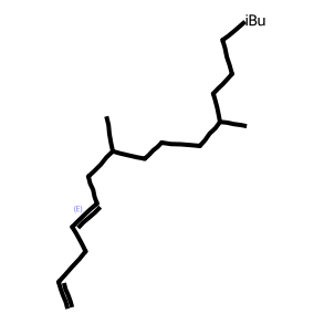 C=CC/C=C/CC(C)CCCC(C)CCCC(C)CC